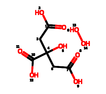 O=C(O)CC(O)(CC(=O)O)C(=O)O.OO